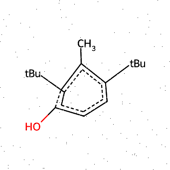 Cc1c(C(C)(C)C)ccc(O)c1C(C)(C)C